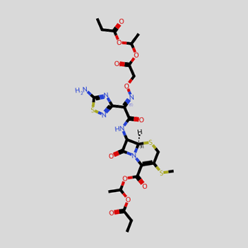 CCC(=O)OC(C)OC(=O)CO/N=C(/C(=O)NC1C(=O)N2C(C(=O)OC(C)OC(=O)CC)=C(SC)CS[C@H]12)c1nsc(N)n1